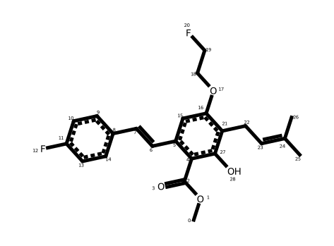 COC(=O)c1c(C=Cc2ccc(F)cc2)cc(OCCF)c(CC=C(C)C)c1O